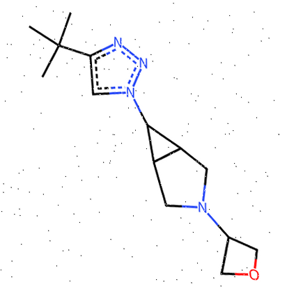 CC(C)(C)c1cn(C2C3CN(C4COC4)CC32)nn1